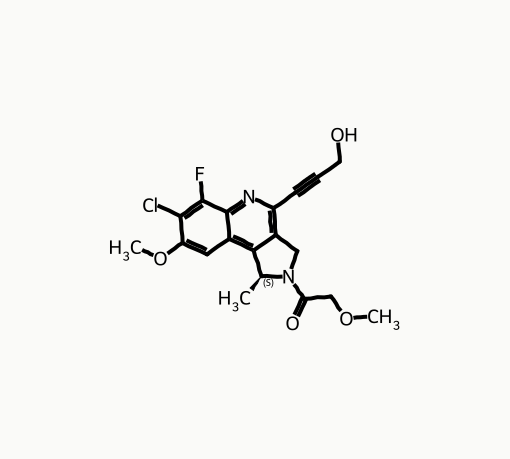 COCC(=O)N1Cc2c(C#CCO)nc3c(F)c(Cl)c(OC)cc3c2[C@@H]1C